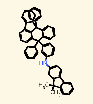 CC1(C)c2ccccc2C2=CC=C(Nc3cccc(C4(c5ccccc5)c5ccccc5C5(c6ccccc6)c6c(cccc64)C4=CC=CCC45)c3)CC21